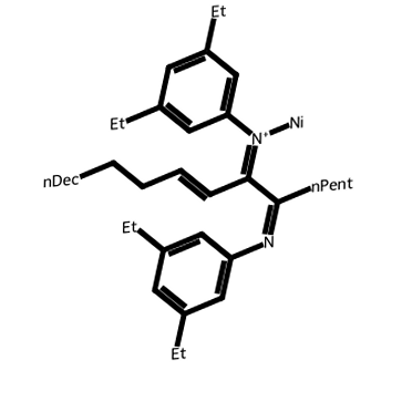 CCCCCCCCCCCCC=CC(C(CCCCC)=Nc1cc(CC)cc(CC)c1)=[N+]([Ni])c1cc(CC)cc(CC)c1